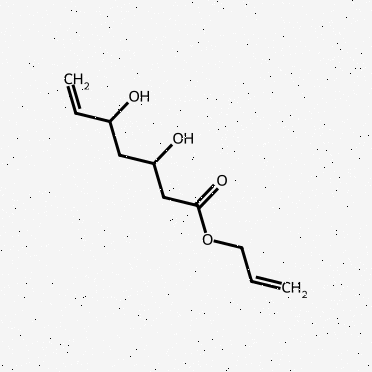 C=CCOC(=O)CC(O)CC(O)C=C